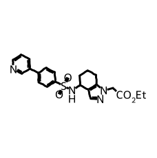 CCOC(=O)Cn1ncc2c1CCCC2NS(=O)(=O)c1ccc(-c2cccnc2)cc1